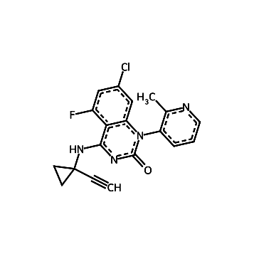 C#CC1(Nc2nc(=O)n(-c3cccnc3C)c3cc(Cl)cc(F)c23)CC1